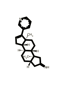 C[C@]12CC(=N)C[C@@H]1CC[C@@H]1[C@@H]2CC[C@]2(C)C(c3cccnc3)=CC[C@@H]12